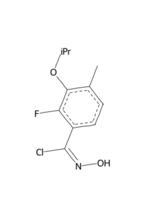 Cc1ccc(/C(Cl)=N\O)c(F)c1OC(C)C